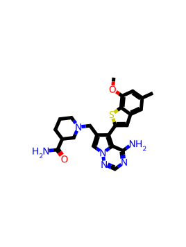 COc1cc(C)cc2cc(-c3c(CN4CCCC(C(N)=O)C4)cn4ncnc(N)c34)sc12